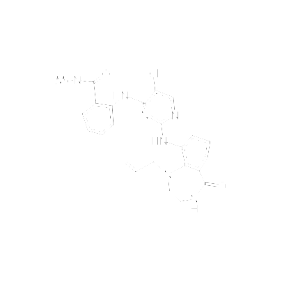 C=CCN1CCNC(=O)c2cccc(Nc3ncc(Cl)c(Nc4ccccc4C(=O)NC)n3)c21